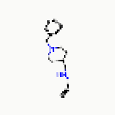 C#CCNCC1CCN(Cc2ccccc2)CC1